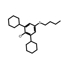 CCCCSc1cc(C2CCCCC2)c([O])c(C2CCCCC2)c1